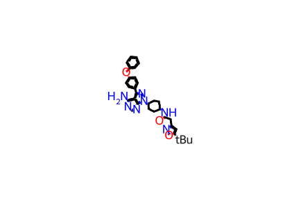 CC(C)(C)c1cc(CC(=O)NC2CCC(n3nc(-c4ccc(Oc5ccccc5)cc4)c4c(N)ncnc43)CC2)no1